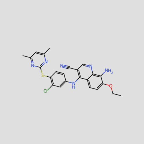 CCOc1ccc2c(Nc3ccc(Sc4nc(C)cc(C)n4)c(Cl)c3)c(C#N)cnc2c1N